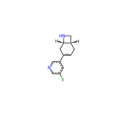 Fc1cncc(C2=CC[C@H]3CN[C@H]3C2)c1